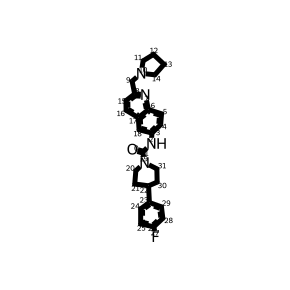 O=C(Nc1ccc2nc(CN3CCCC3)ccc2c1)N1CCC(c2ccc(F)cc2)CC1